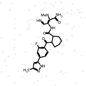 CN/C(C(N)=O)=C(\C=N)NC(=O)C1CCCCC1C(=O)c1ccc(-c2cc(C)n[nH]2)cc1F